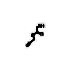 C#CCOC(=O)C[NH]